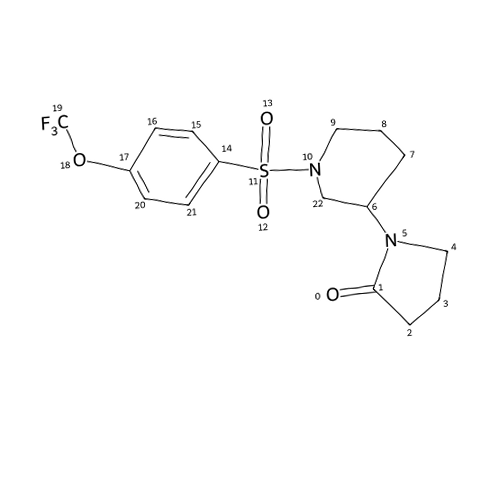 O=C1CCCN1C1CCCN(S(=O)(=O)c2ccc(OC(F)(F)F)cc2)C1